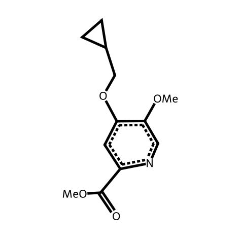 COC(=O)c1cc(OCC2CC2)c(OC)cn1